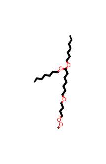 CCCCCCCOC(CCCCCCOCCCCOOC)OCCCCCCC